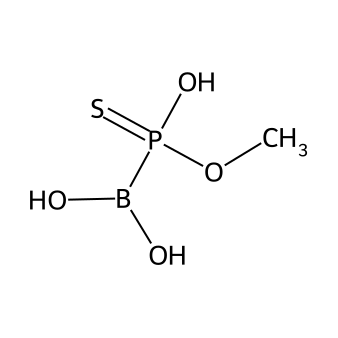 COP(O)(=S)B(O)O